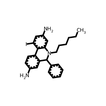 CCCCCCN1c2cc(N)cc(I)c2-c2ccc(N)cc2C1c1ccccc1